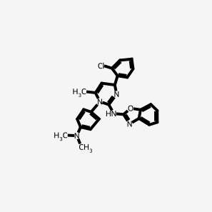 CC1=CC(c2ccccc2Cl)N=C(Nc2nc3ccccc3o2)N1c1ccc(N(C)C)cc1